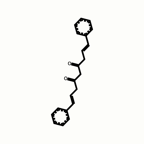 O=C(C/C=C/c1ccccc1)CC(=O)C/C=C/c1ccccc1